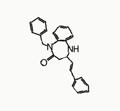 O=C1CC(C=Cc2ccccc2)Nc2ccccc2N1Cc1ccccc1